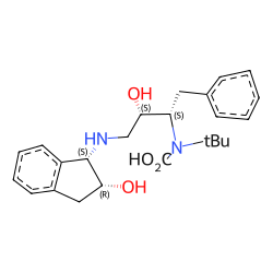 CC(C)(C)N(C(=O)O)[C@@H](Cc1ccccc1)[C@@H](O)CN[C@H]1c2ccccc2C[C@H]1O